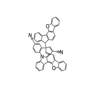 N#CC1=CC(c2cc(C#N)ccc2-n2c3ccccc3c3c4oc5ccccc5c4ccc32)(C2c3ccccc3-c3c2ccc2c3oc3ccccc32)C=C1